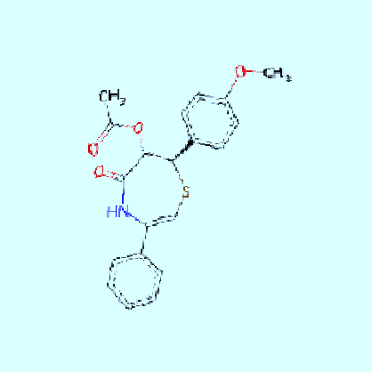 COc1ccc([C@H]2SC=C(c3ccccc3)NC(=O)[C@@H]2OC(C)=O)cc1